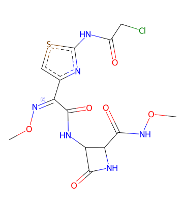 CO/N=C(\C(=O)NC1C(=O)NC1C(=O)NOC)c1csc(NC(=O)CCl)n1